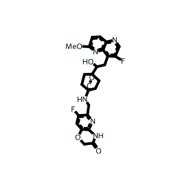 COc1ccc2ncc(F)c(CC(O)C34CCC(NCc5nc6c(cc5F)OCC(=O)N6)(CC3)CO4)c2n1